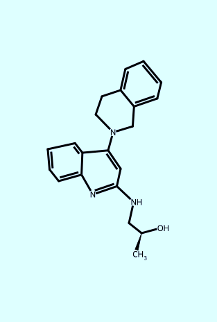 C[C@H](O)CNc1cc(N2CCc3ccccc3C2)c2ccccc2n1